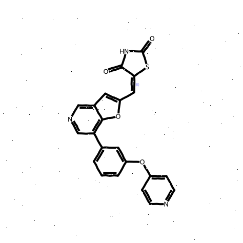 O=C1NC(=O)/C(=C\c2cc3cncc(-c4cccc(Oc5ccncc5)c4)c3o2)S1